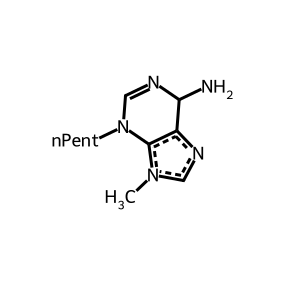 CCCCCN1C=NC(N)c2ncn(C)c21